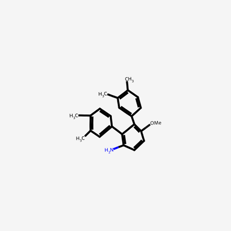 COc1ccc(N)c(-c2ccc(C)c(C)c2)c1-c1ccc(C)c(C)c1